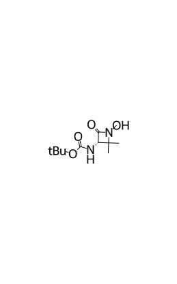 CC(C)(C)OC(=O)N[C@@H]1C(=O)N(O)C1(C)C